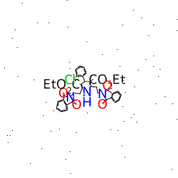 CCOC(=O)C1=C(CCN2C(=O)c3ccccc3C2=O)NC(CCN2C(=O)c3ccccc3C2=O)=C(C(=O)OCC)C1c1ccccc1Cl